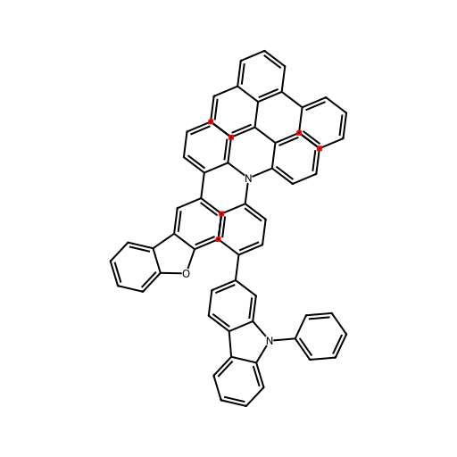 c1ccc(-c2cccc3cccc(-c4ccccc4N(c4ccc(-c5ccc6c7ccccc7n(-c7ccccc7)c6c5)cc4)c4ccccc4-c4ccc5oc6ccccc6c5c4)c23)cc1